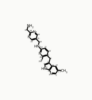 Cc1cnc2[nH]cc(Cc3ccc(NCc4cnc(CN)nc4)nc3F)c2c1